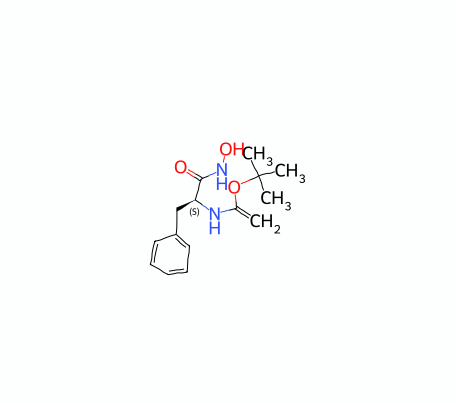 C=C(N[C@@H](Cc1ccccc1)C(=O)NO)OC(C)(C)C